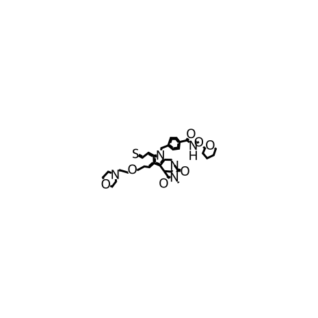 CN1C(=O)C2CN(Cc3c2c(=C/CCOCCN2CCOCC2)/c(=C\C=S)n3Cc2ccc(C(=O)NOC3CCCCO3)cc2)C1=O